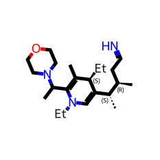 CC[C@H]1C([C@@H](C)[C@H](C)CC=N)=CN(CC)C(C(C)N2CCOCC2)=C1C